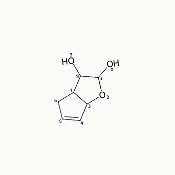 OC1OC2C=CCC2C1O